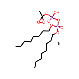 CCCCCCCCOP(=O)(OCCCCCCCC)OP(=O)(O)OC1(C)OO1.[Ti]